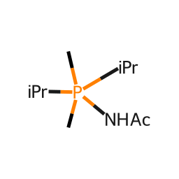 CC(=O)NP(C)(C)(C(C)C)C(C)C